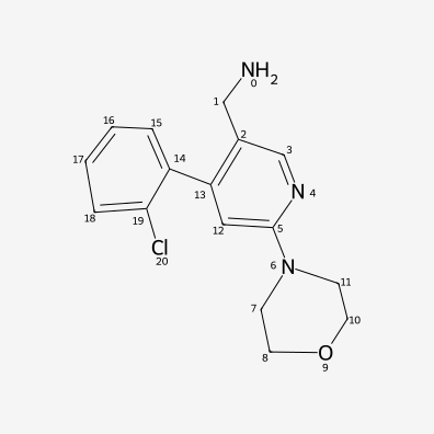 NCc1cnc(N2CCOCC2)cc1-c1ccccc1Cl